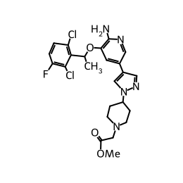 COC(=O)CN1CCC(n2cc(-c3cnc(N)c(OC(C)c4c(Cl)ccc(F)c4Cl)c3)cn2)CC1